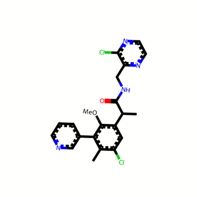 COc1c(C(C)C(=O)NCc2nccnc2Cl)cc(Cl)c(C)c1-c1cccnc1